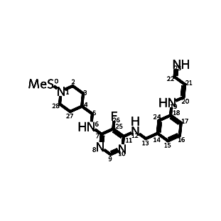 CSN1CCC(CNc2ncnc(NCc3cccc(N/C=C\C=N)c3)c2F)CC1